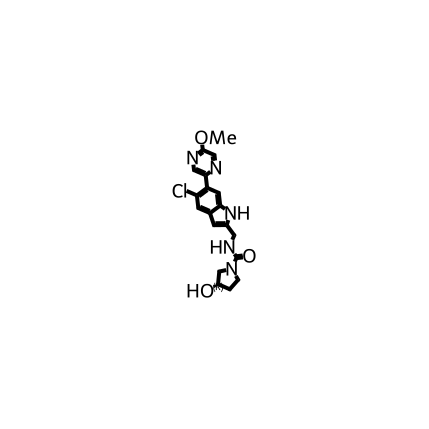 COc1cnc(-c2cc3[nH]c(CNC(=O)N4CC[C@@H](O)C4)cc3cc2Cl)cn1